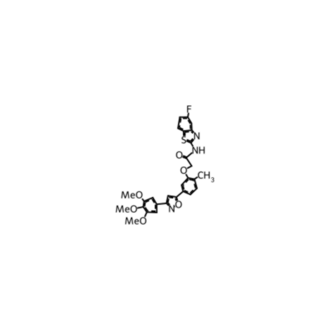 COc1cc(-c2cc(-c3ccc(C)c(OCC(=O)Nc4nc5cc(F)ccc5s4)c3)on2)cc(OC)c1OC